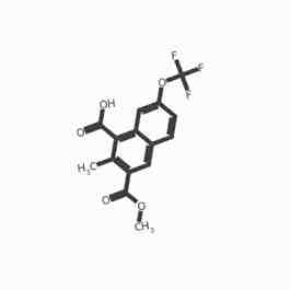 COC(=O)c1cc2ccc(OC(F)(F)F)cc2c(C(=O)O)c1C